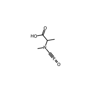 CC(C(=O)O)N(C)C#P=O